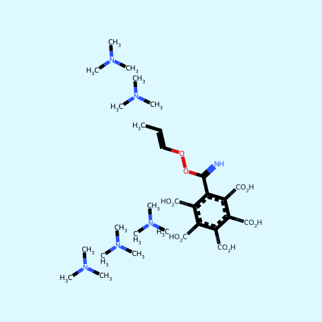 CC=COOC(=N)c1c(C(=O)O)c(C(=O)O)c(C(=O)O)c(C(=O)O)c1C(=O)O.CN(C)C.CN(C)C.CN(C)C.CN(C)C.CN(C)C